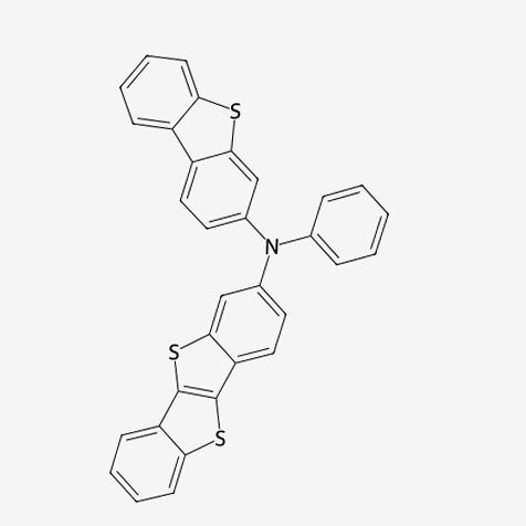 c1ccc(N(c2ccc3c(c2)sc2ccccc23)c2ccc3c(c2)sc2c4ccccc4sc32)cc1